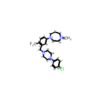 CN1CCCN(c2ccc(C(F)(F)F)c(CN3CCN(c4ccc(Cl)cc4)CC3)c2)CC1